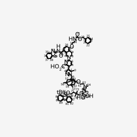 Cc1c(-c2ccc(N3CCc4c(OCCNC(=O)OCc5ccccc5)ccc(C(=O)Nc5nc6ccccc6s5)c4C3)nc2C(=O)O)cnn1CC12CC3(C)CC(C)(C1)CC(OCCN(C)CC[SH2](O)(O)OCC(C)(C)CCO[Si](c1ccccc1)(c1ccccc1)C(C)(C)C)(C3)C2